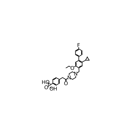 CCOc1cc(-c2ccc(F)cc2)c(C2CC2)cc1CN1CCN(C(=O)Cc2ccc(P(=O)(O)O)cc2)CC1